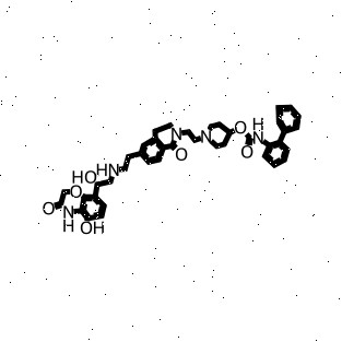 O=C1COc2c([C@H](O)CNCCc3ccc4c(c3)CCN(CCN3CCC(OC(=O)Nc5ccccc5-c5ccccc5)CC3)C4=O)ccc(O)c2N1